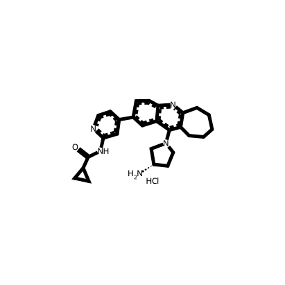 Cl.N[C@H]1CCN(c2c3c(nc4ccc(-c5ccnc(NC(=O)C6CC6)c5)cc24)CCCCC3)C1